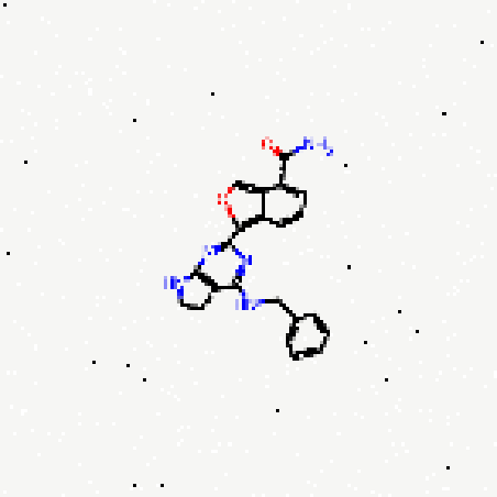 NC(=O)c1cccc2c(-c3nc4c(c(NCc5ccccc5)n3)CCN4)occ12